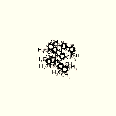 Cc1cc2c3c(c1)N(c1cccc4c1oc1c(C(C)(C)C)cccc14)c1cc4c(cc1B3c1cc3c(cc1N2c1cc2c(cc1C)C(C)(C)CCC2(C)C)C(C)(C)CC3(C)C)C(C)(C)CCC4(C)C